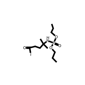 CCCOP(=O)(NC(C)(C)CCC(=O)I)OCCC